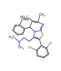 COc1ccccc1C1C(C(=O)O)=C(C)N=C2SC(c3c(Cl)cccc3Cl)=C(CCN(C)C)N21